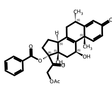 CC(=O)OCC(=O)[C@@]1(OC(=O)c2ccccc2)CC[C@H]2C3=C([C@@H](O)C[C@@]21C)[C@@]1(C)C=CC(=O)C=C1[C@@H](C)C3